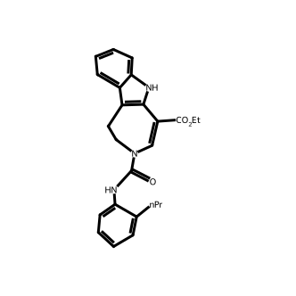 CCCc1ccccc1NC(=O)N1C=C(C(=O)OCC)c2[nH]c3ccccc3c2CC1